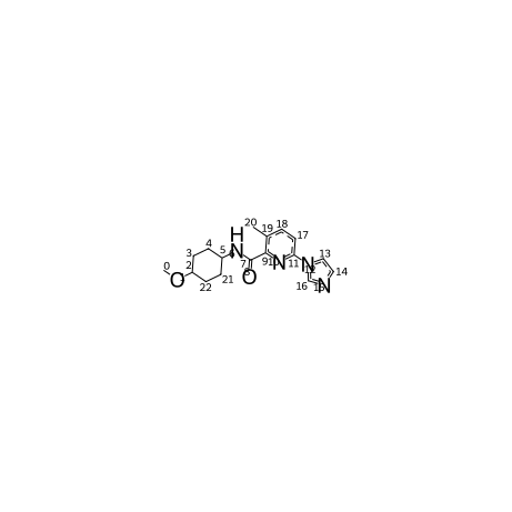 COC1CCC(NC(=O)c2nc(-n3ccnc3)ccc2C)CC1